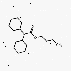 CCCCOC(=S)N(C1CCCCC1)C1CCCCC1